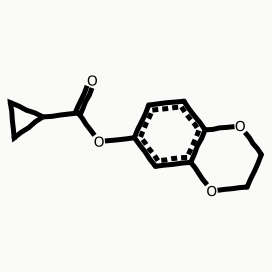 O=C(Oc1ccc2c(c1)OCCO2)C1CC1